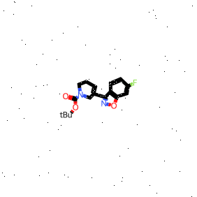 CC(C)(C)OC(=O)N1CCC=C(c2noc3cc(F)ccc23)C1